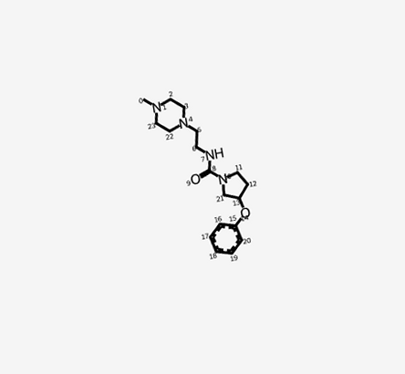 CN1CCN(CCNC(=O)N2CCC(Oc3ccccc3)C2)CC1